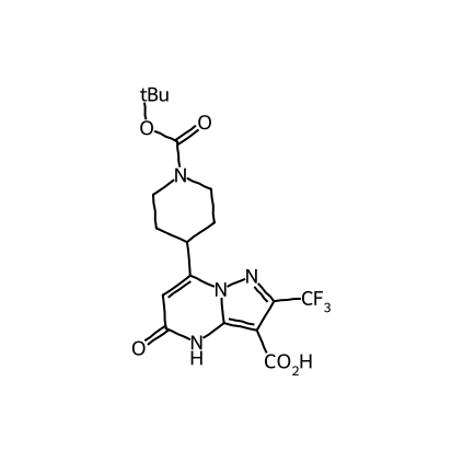 CC(C)(C)OC(=O)N1CCC(c2cc(=O)[nH]c3c(C(=O)O)c(C(F)(F)F)nn23)CC1